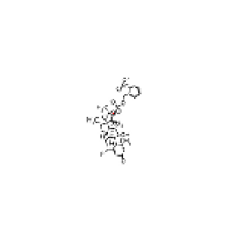 CC(=O)O[C@]1(C(=O)COC(=O)OCc2ccccc2[N+](=O)[O-])C(C)C[C@H]2[C@@H]3CC(F)C4=CC(=O)C=C[C@]4(C)[C@@]3(F)C(O)C[C@@]21C